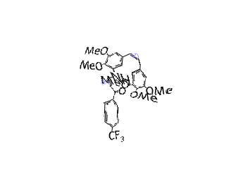 COc1cc(/C=C\c2cc(OC)c(OC)c(OC)c2)cc(N/C=C\C(=O)c2ccc(C(F)(F)F)cc2)c1OC